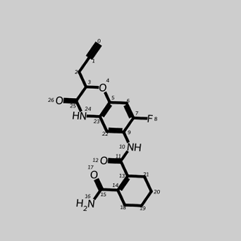 C#CCC1Oc2cc(F)c(NC(=O)C3=C(C(N)=O)CCCC3)cc2NC1=O